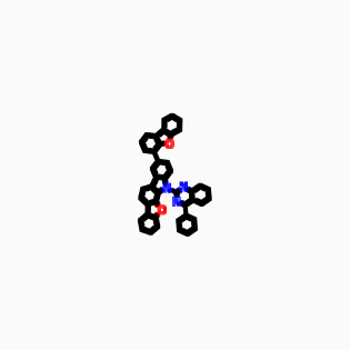 c1ccc(-c2nc(-n3c4ccc(-c5cccc6c5oc5ccccc56)cc4c4ccc5c6ccccc6oc5c43)nc3ccccc23)cc1